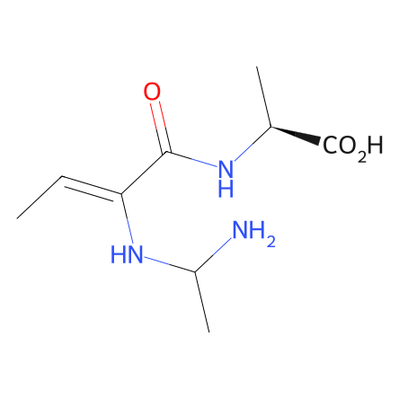 C/C=C(\NC(C)N)C(=O)N[C@@H](C)C(=O)O